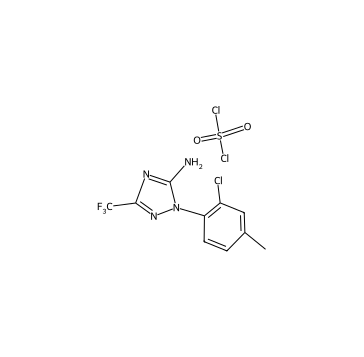 Cc1ccc(-n2nc(C(F)(F)F)nc2N)c(Cl)c1.O=S(=O)(Cl)Cl